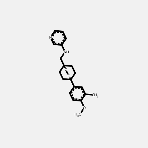 COc1ccc(C23CCC(CNc4cccnc4)(CC2)CC3)cc1C